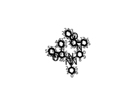 c1ccc(-c2nc(-c3cccc(-n4c5ccccc5c5c6oc7ccccc7c6ccc54)c3)nc(-c3cc(-c4ccccc4)c4c(c3)oc3ccccc34)n2)cc1